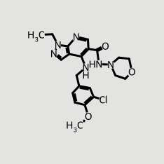 CCn1ncc2c(NCc3ccc(OC)c(Cl)c3)c(C(=O)NN3CCOCC3)cnc21